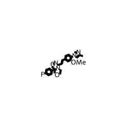 COc1cc(/C=C/C2=NOCC3(c4ccc(F)cc4)COCCN23)ccc1-n1cnc(C)c1